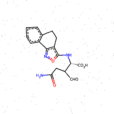 NC(=O)CC(C=O)[C@H](Nc1onc2c1CCc1ccccc1-2)C(=O)O